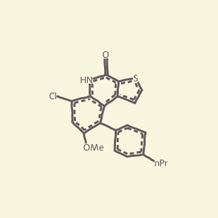 CCCc1ccc(-c2c(OC)cc(Cl)c3[nH]c(=O)c4sccc4c23)cc1